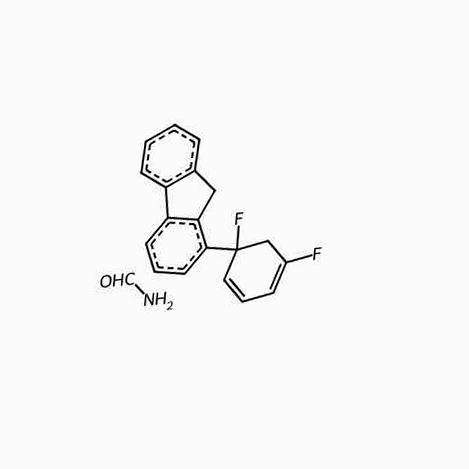 FC1=CC=CC(F)(c2cccc3c2Cc2ccccc2-3)C1.NC=O